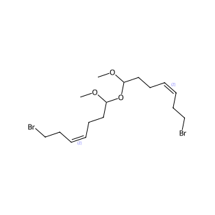 COC(CC/C=C\CCBr)OC(CC/C=C\CCBr)OC